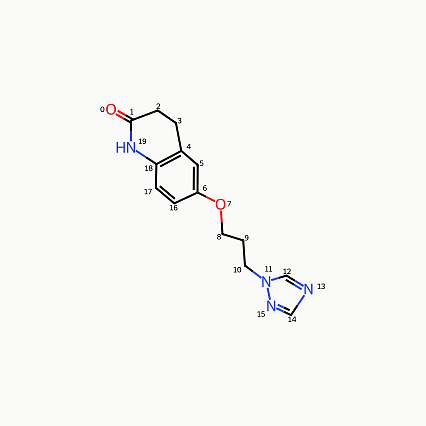 O=C1CCc2cc(OCCCn3cncn3)ccc2N1